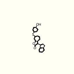 O=c1oc2cc(Sc3ccc(O)cc3)cccc-2c1C1=CCc2ccccc21